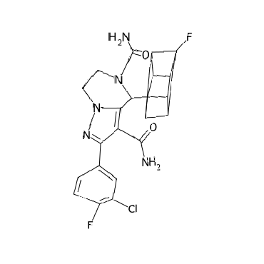 NC(=O)c1c(-c2ccc(F)c(Cl)c2)nn2c1C(C13C4C5C1C1C3C4C51F)N(C(N)=O)CC2